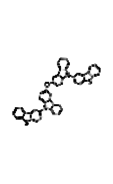 c1ccc2c(c1)sc1ccc(-n3c4ccccc4c4cc(Oc5ccc6c(c5)c5ccccc5n6-c5ccc6sc7ccccc7c6c5)ccc43)cc12